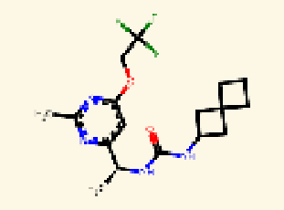 Cc1nc(OCC(F)(F)F)cc([C@H](C)NC(=O)NC2CC3(CCC3)C2)n1